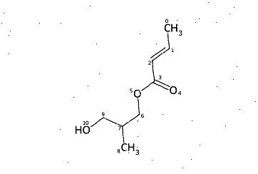 C/C=C/C(=O)OCC(C)CO